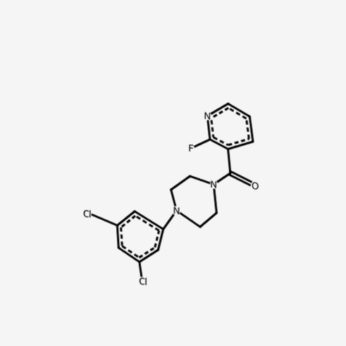 O=C(c1cccnc1F)N1CCN(c2cc(Cl)cc(Cl)c2)CC1